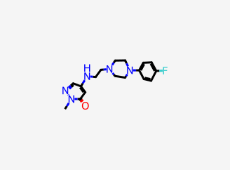 Cn1ncc(NCCN2CCN(c3ccc(F)cc3)CC2)cc1=O